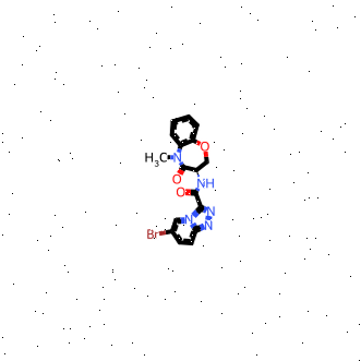 CN1C(=O)[C@@H](NC(=O)c2nnc3ccc(Br)cn23)COc2ccccc21